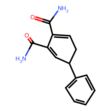 NC(=O)C1=CCC(c2ccccc2)C=C1C(N)=O